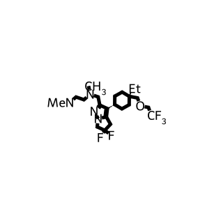 CC[C@]1(COCC(F)(F)F)CC[C@H](c2c(CN(C)CCNC)nn3c2CC(F)(F)C3)CC1